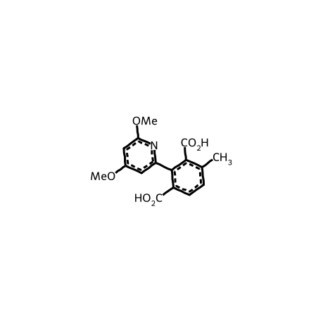 COc1cc(OC)nc(-c2c(C(=O)O)ccc(C)c2C(=O)O)c1